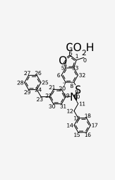 Cc1c(C(=O)O)oc2ccc(SN(CCc3ccccc3)c3ccc(Cc4ccccc4)cc3)cc12